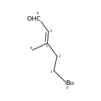 CCC(C)CC/C(C)=C/C=O